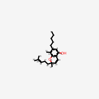 CCCCCc1cc(O)c2c(c1C)OC(C)(CCC=C(C)C)C=C2